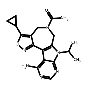 CC(C)n1c2c(c3c(N)ncnc31)-c1noc(C3CC3)c1CN(C(N)=O)C2